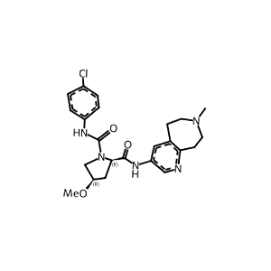 CO[C@@H]1C[C@H](C(=O)Nc2cnc3c(c2)CCN(C)CC3)N(C(=O)Nc2ccc(Cl)cc2)C1